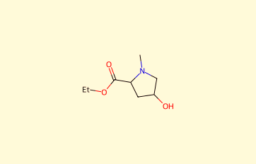 CCOC(=O)C1CC(O)CN1C